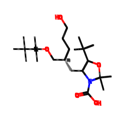 CC(C)(C)C1OC(C)(C)N(C(=O)O)C1C[C@@H](CCCO)CO[Si](C)(C)C(C)(C)C